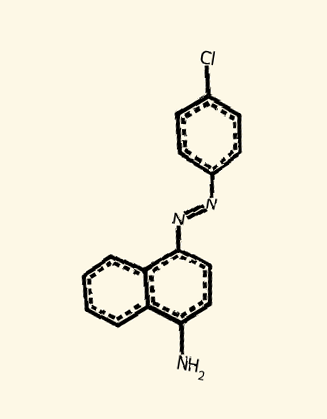 Nc1ccc(N=Nc2ccc(Cl)cc2)c2ccccc12